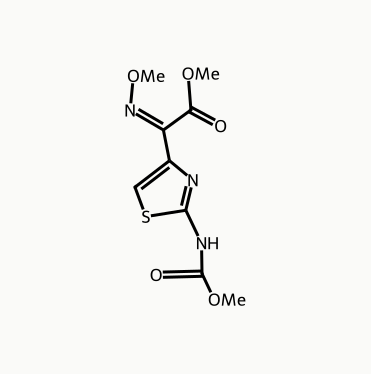 CON=C(C(=O)OC)c1csc(NC(=O)OC)n1